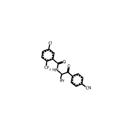 CC(C)C(NC(=O)c1cc(Cl)ccc1C(F)(F)F)C(=O)c1ccc(C#N)cc1